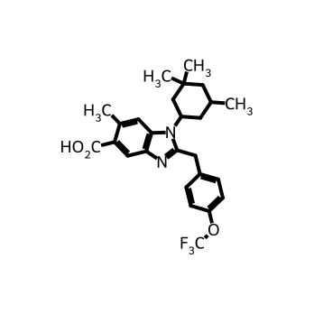 Cc1cc2c(cc1C(=O)O)nc(Cc1ccc(OC(F)(F)F)cc1)n2C1CC(C)CC(C)(C)C1